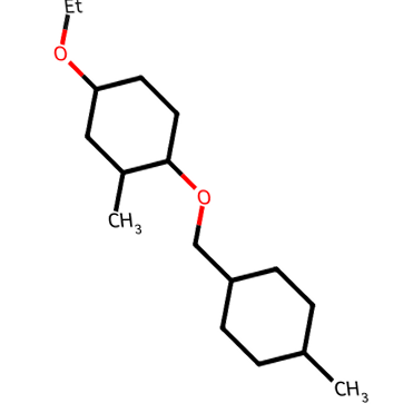 CCOC1CCC(OCC2CCC(C)CC2)C(C)C1